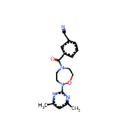 Cc1cc(C)nc(N2CCN(C(=O)c3cccc(C#N)c3)CCO2)n1